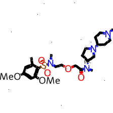 COc1cc(C)c(S(=O)(=O)N(C)CCOCC(=O)N(C)[C@@H]2CCN(C3CCN(C)CC3)C2)c(OC)c1